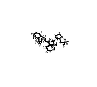 FC(F)(F)CC1CCCN1c1nc(NCc2cccnc2C(F)(F)F)c2cccnc2n1